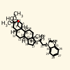 COCC[C@]12CC[C@@](C)(O)C[C@@H]1CC[C@H]1[C@@H]3CC[C@H](C(=O)Cn4cnc5ccccc54)[C@@]3(C)CC[C@@H]12